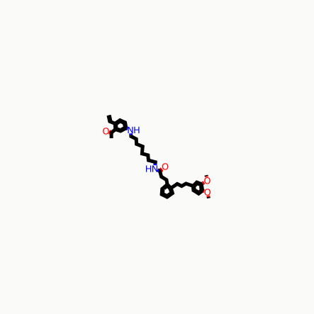 C=Cc1ccc(NCCCCCCCCNC(=O)CCc2ccccc2CCCc2ccc(OC)c(OC)c2)cc1C(C)=O